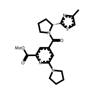 COC(=O)c1cc(C(=O)N2CCC[C@@H]2c2nc(C)cs2)cc(N2CCCC2)n1